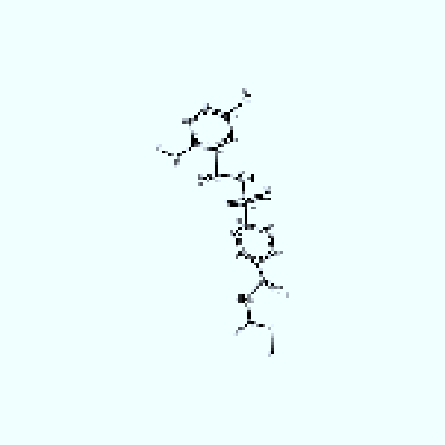 CCC(C)NC(=O)c1ccc(S(=O)(=O)NC(=O)c2cc(Cl)ccc2OC)cc1